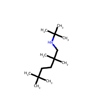 CC(C)(C)CCC(C)(C)CNC(C)(C)C